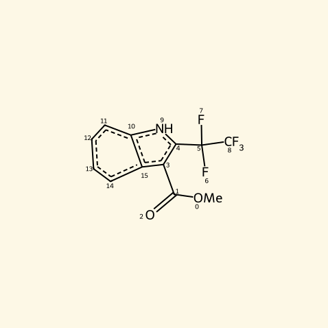 COC(=O)c1c(C(F)(F)C(F)(F)F)[nH]c2ccccc12